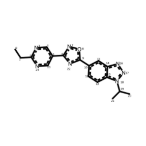 CCc1ncc(-c2noc(-c3ccc4c(c3)nnn4C(C)C)n2)cn1